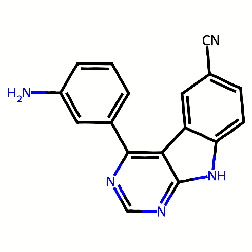 N#Cc1ccc2[nH]c3ncnc(-c4cccc(N)c4)c3c2c1